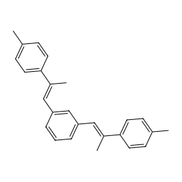 C/C(=C\c1cccc(/C=C(\C)c2ccc(C)cc2)c1)c1ccc(C)cc1